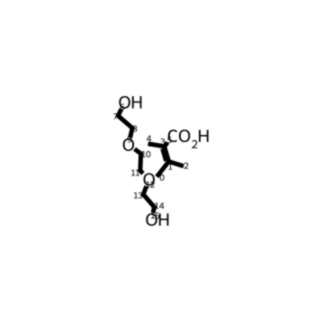 CC(C)=C(C)C(=O)O.OCCOCCOCCO